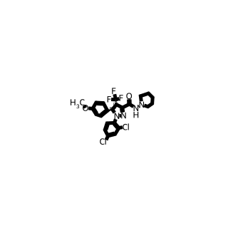 COc1ccc([C@H]2[C@H](C(F)(F)F)C(C(=O)NN3CCCCC3)=NN2c2ccc(Cl)cc2Cl)cc1